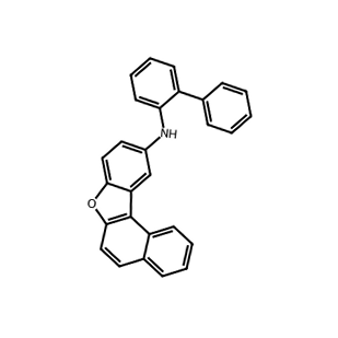 c1ccc(-c2ccccc2Nc2ccc3oc4ccc5ccccc5c4c3c2)cc1